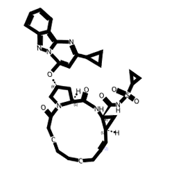 O=C1N[C@]2(C(=O)NS(=O)(=O)C3CC3)C[C@H]2/C=C\CCCCCCC(=O)N2C[C@H](Oc3cc(C4CC4)nc4c5ccccc5nn34)C[C@@H]12